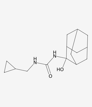 O=C(NCC1CC1)NC1(O)C2CC3CC(C2)CC1C3